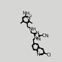 Cc1cc(N)nc(C)c1CNCc1nc(C#N)nn1Cc1ccc2ncc(Cl)cc2c1